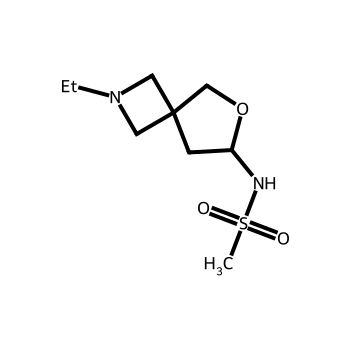 CCN1CC2(COC(NS(C)(=O)=O)C2)C1